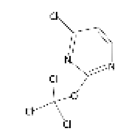 Clc1ccnc(OC(Cl)(Cl)Cl)n1